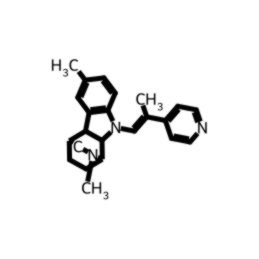 C/C(=C\N1c2ccc(C)cc2C2C3CCC(C21)N(C)C3)c1ccncc1